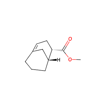 COC(=O)[C@H]1CC=C2CCC[C@@H]1C2